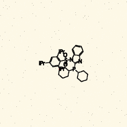 CC(C)c1cc(C(C)C)c(S(=O)(=O)n2c(P(C3CCCCC3)C3CCCCC3)nc3ccccc32)c(C(C)C)c1